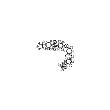 CCC(C)(CC)c1ccc(S(=O)(=O)c2ccc(Oc3ccc(Cc4ccc(OC(C)(C)C)cc4)cc3)cc2)cc1